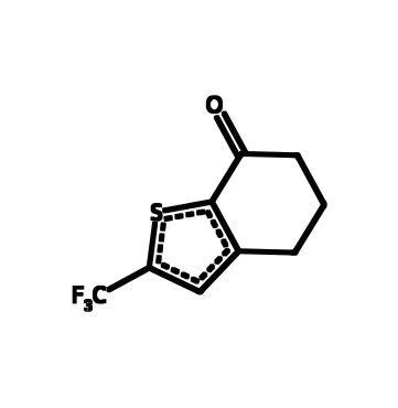 O=C1CCCc2cc(C(F)(F)F)sc21